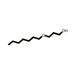 CCC[CH]CCCOCCCO